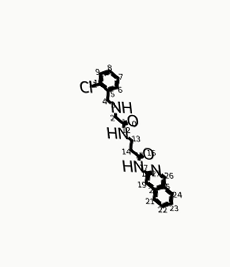 O=C(CNCc1ccccc1Cl)NCCC(=O)Nc1cc2ccccc2cn1